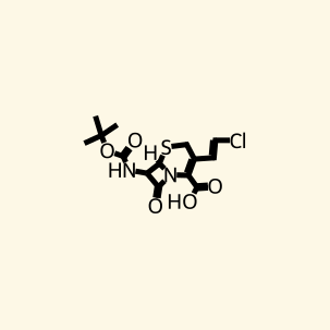 CC(C)(C)OC(=O)NC1C(=O)N2C(C(=O)O)=C(/C=C/Cl)CS[C@@H]12